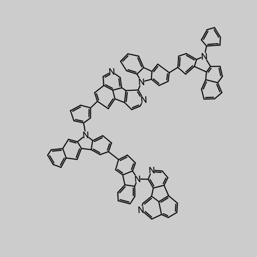 c1ccc(-n2c3ccc(-c4ccc5c(c4)c4ccccc4n5-c4nccc5c4-c4cncc6cc(-c7cccc(-n8c9ccc(-c%10ccc%11c(c%10)c%10ccccc%10n%11-c%10nccc%11c%10-c%10cncc%12cccc-%11c%10%12)cc9c9cc%10ccccc%10cc98)c7)cc-5c46)cc3c3c4ccccc4ccc32)cc1